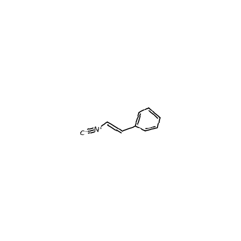 [C-]#[N+]C=Cc1ccccc1